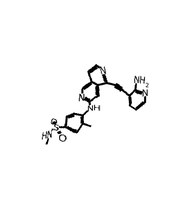 CNS(=O)(=O)c1ccc(Nc2cc3c(C#Cc4cccnc4N)nccc3cn2)c(C)c1